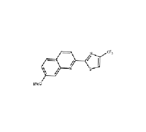 COc1ccc2[c]cc(-c3nc(C(F)(F)F)cs3)nc2c1